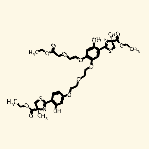 CCOC(=O)COCCOc1cc(O)c(C2=N[C@@](C)(C(=O)OCC)CS2)cc1OCCOCCOc1ccc(C2=N[C@@](C)(C(=O)OCC)CS2)c(O)c1